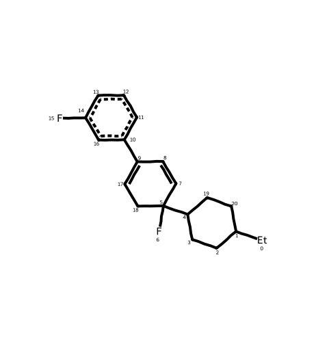 CCC1CCC(C2(F)C=CC(c3cccc(F)c3)=CC2)CC1